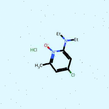 CCN(CC)c1cc(Cl)cc(C)[n+]1[O-].Cl